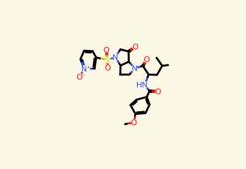 COc1ccc(C(=O)NC(CC(C)C)C(=O)N2CCC3C2C(=O)CN3S(=O)(=O)c2ccc[n+]([O-])c2)cc1